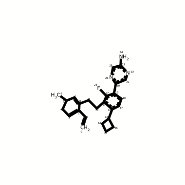 C=CC1=CCC(C)C=C1CCc1c(C2CCC2)ccc(-c2cnc(N)cn2)c1F